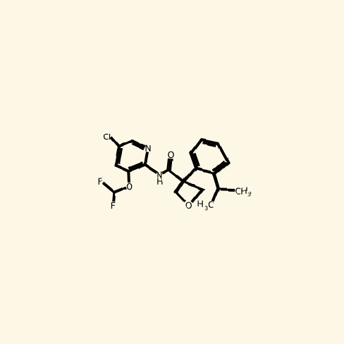 CC(C)c1ccccc1C1(C(=O)Nc2ncc(Cl)cc2OC(F)F)COC1